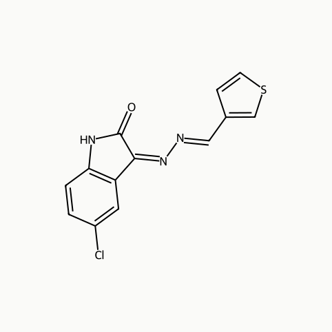 O=C1Nc2ccc(Cl)cc2/C1=N/N=C/c1ccsc1